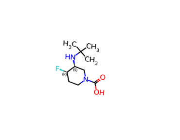 CC(C)(C)N[C@H]1CN(C(=O)O)CC[C@H]1F